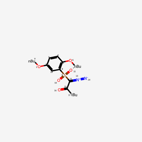 CCCCOc1ccc(OCCCC)c(S(=O)(=O)C(=[N+]=[N-])C(=O)C(C)(C)C)c1